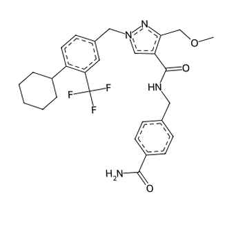 COCc1nn(Cc2ccc(C3CCCCC3)c(C(F)(F)F)c2)cc1C(=O)NCc1ccc(C(N)=O)cc1